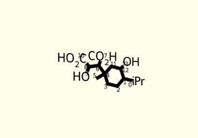 CC(C)C1CCC(C)(C(C(=O)O)C(O)C(=O)O)CC1O